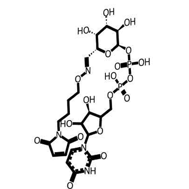 O=C1C=CC(=O)N1CCCCON=C[C@H]1O[C@H](OP(=O)(O)OP(=O)(O)OCC2OC(n3ccc(=O)[nH]c3=O)C(O)[C@H]2O)[C@H](O)[C@@H](O)[C@H]1O